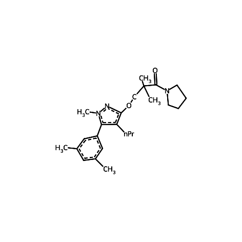 CCCc1c(OCC(C)(C)C(=O)N2CCCC2)nn(C)c1-c1cc(C)cc(C)c1